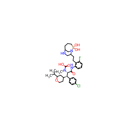 CC(C)C1CC([C@H](c2ccc(Cl)cc2)[C@@H](C(=O)Nc2cccc(F)c2CCC2CNC3CCCS(O)(O)N2C3)N(C)C(=O)O)CCO1